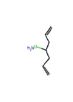 C=CCC(Cl)CC=C.N